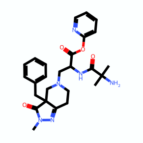 CN1N=C2CCN(CC(NC(=O)C(C)(C)N)C(=O)Oc3ccccn3)CC2(Cc2ccccc2)C1=O